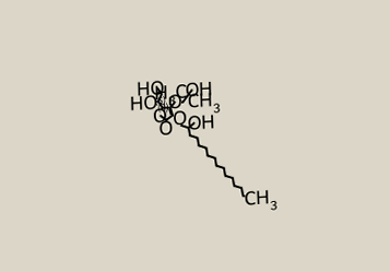 CCCCCCCCCCCCCCC(O)COC1=C(OCC(C)(C)O)[C@@H]([C@@H](O)CO)OC1=O